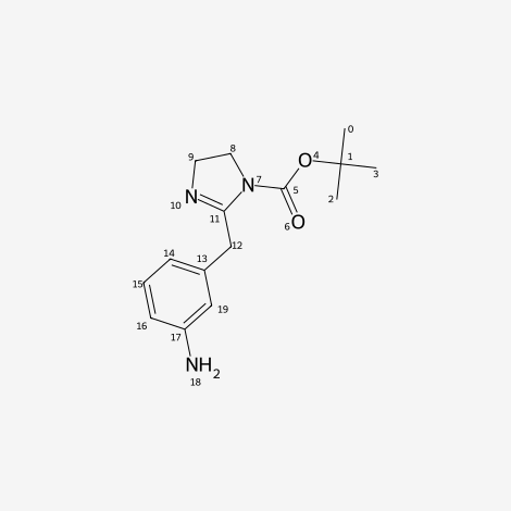 CC(C)(C)OC(=O)N1CCN=C1Cc1cccc(N)c1